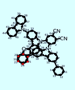 N#Cc1cc(-n2c3ccc(-c4ccccc4)cc3c3cc(-c4ccccc4)ccc32)c(-n2c3ccc(-n4c5ccccc5c5ccccc54)cc3c3c4oc5ccccc5c4ccc32)cc1C#N